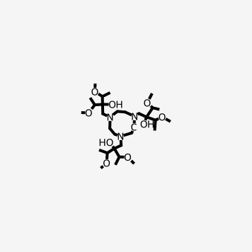 COC(C)C(O)(CN1CCN(CC(O)(C(C)OC)C(C)OC)CCN(CC(O)(C(C)OC)C(C)OC)CC1)C(C)OC